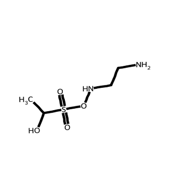 CC(O)S(=O)(=O)ONCCN